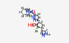 Cn1cc(-c2ccc(-c3ccc(O[C@@H]4CC5CCCC(N5)[C@@H]4F)nn3)c(O)c2F)cn1